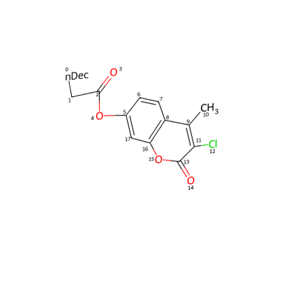 CCCCCCCCCCCC(=O)Oc1ccc2c(C)c(Cl)c(=O)oc2c1